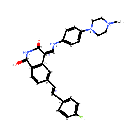 CN1CCN(c2ccc(N/C=C3\C(=O)NC(=O)c4ccc(/C=C/c5ccc(F)cc5)cc43)cc2)CC1